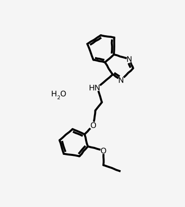 CCOc1ccccc1OCCNc1ncnc2ccccc12.O